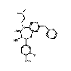 COc1ccc(C2Sc3cc(Cc4ccccc4)ccc3N(CCN(C)C)C(=O)C2O)cc1F